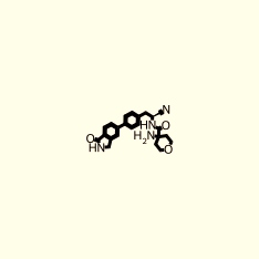 N#C[C@H](Cc1ccc(-c2ccc3c(c2)CNC3=O)cc1)NC(=O)C1(N)CCOCC1